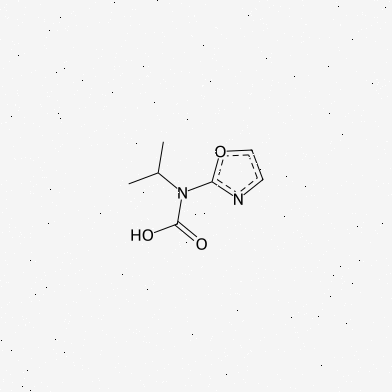 CC(C)N(C(=O)O)c1ncco1